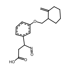 C=C1CCCCC1COc1cccc(C(CC(=O)O)N=O)c1